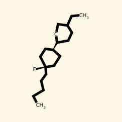 CCCCC[C@]1(F)CC[C@@H](C2CCC(CC)CC2)CC1